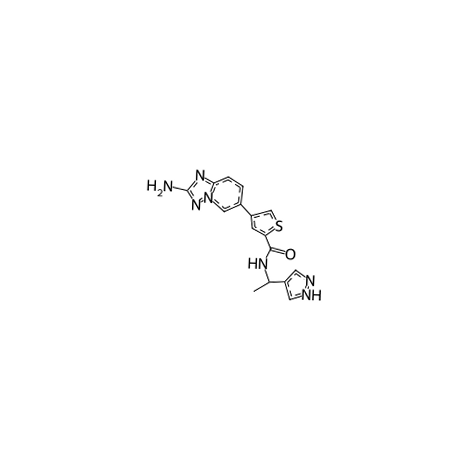 CC(NC(=O)c1cc(-c2ccc3nc(N)nn3c2)cs1)c1cn[nH]c1